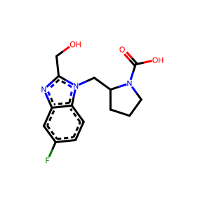 O=C(O)N1CCCC1Cn1c(CO)nc2cc(F)ccc21